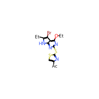 CCOc1nc(Sc2nc(C(C)=O)cs2)nc2[nH]c(CC)c(Br)c12